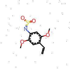 C=Cc1cc(OC)c(N=S(=O)=O)cc1OC